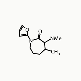 CNC1C(=O)N(c2ccco2)CCCC1C